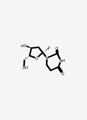 O=C1CCN([C@]2(F)C[C@H](O)[C@@H](CO)O2)C(=O)N1